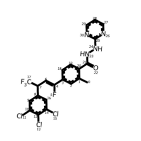 Cc1cc(C(F)=CC(c2cc(Cl)c(Cl)c(Cl)c2)C(F)(F)F)ccc1C(=O)NNc1ncccn1